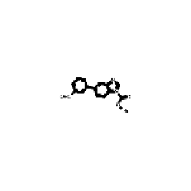 CC(C)(C)OC(=O)n1cnc2cc(-c3cccc(C=O)c3)ccc21